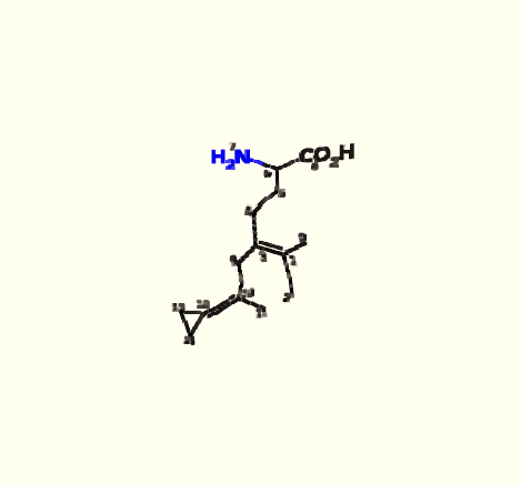 CC(C)=C(CCC(N)C(=O)O)CC(C)=C1CC1